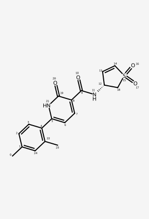 Cc1ccc(-c2ccc(C(=O)N[C@@H]3C=CS(=O)(=O)C3)c(=O)[nH]2)c(C)c1